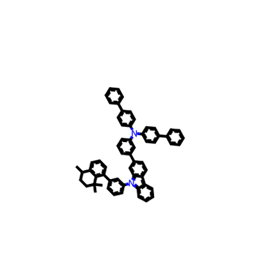 CC1CCC(C)(C)c2c(-c3cccc(-n4c5ccccc5c5ccc(-c6cccc(N(c7ccc(-c8ccccc8)cc7)c7ccc(-c8ccccc8)cc7)c6)cc54)c3)cccc21